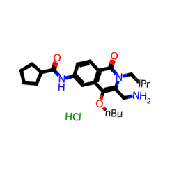 CCCCOc1c(CN)n(CC(C)C)c(=O)c2ccc(NC(=O)C3CCCC3)cc12.Cl